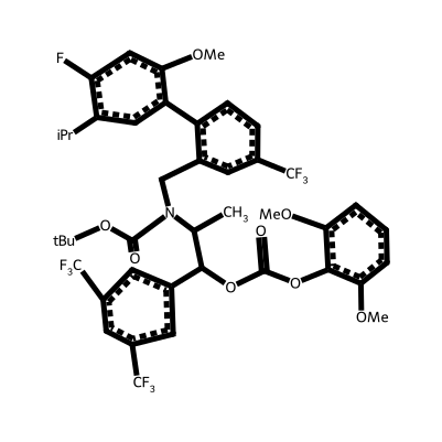 COc1cc(F)c(C(C)C)cc1-c1ccc(C(F)(F)F)cc1CN(C(=O)OC(C)(C)C)C(C)C(OC(=O)Oc1c(OC)cccc1OC)c1cc(C(F)(F)F)cc(C(F)(F)F)c1